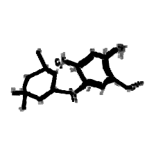 COc1cc(NC2CC(C)CC(C)(C)C2)c([N+](=O)[O-])cc1Br